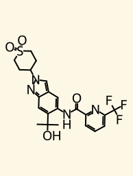 CC(C)(O)c1cc2nn(C3CCS(=O)(=O)CC3)cc2cc1NC(=O)c1cccc(C(F)(F)F)n1